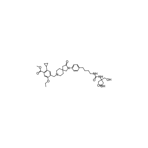 CCOc1cc(C(=O)OC)c(C2CC2)cc1CN1CCC2(CC1)CC(=O)N(c1ccc(CCCCNC(=O)NC(CO)(CO)CO)cc1)C2